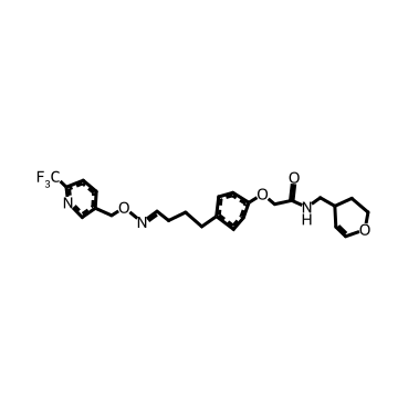 O=C(COc1ccc(CCCC=NOCc2ccc(C(F)(F)F)nc2)cc1)NCC1C=COCC1